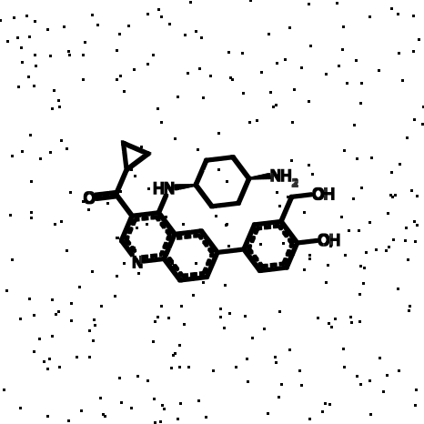 N[C@H]1CC[C@@H](Nc2c(C(=O)C3CC3)cnc3ccc(-c4ccc(O)c(CO)c4)cc23)CC1